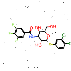 O=C(N[C@@H]1[C@@H](O)[C@@H](Sc2ccc(Cl)c(Cl)c2)O[C@H](CO)[C@@H]1O)c1cc(F)c(F)c(F)c1